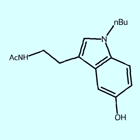 CCCCn1cc(CCNC(C)=O)c2cc(O)ccc21